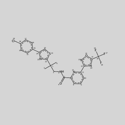 CC(C)(CNC(=O)c1cccc(-c2noc(C(F)(F)F)n2)n1)c1nc(-c2ccc(Cl)cc2)cs1